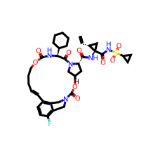 C=C[C@@H]1C[C@]1(NC(=O)[C@@H]1C[C@@H]2CN1C(=O)[C@H](C1CCCCC1)NC(=O)OCCC/C=C/c1ccc(F)c3c1CN(C3)C(=O)O2)C(=O)NS(=O)(=O)C1CC1